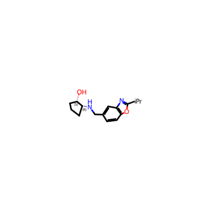 CC(C)c1nc2cc(CN[C@@H]3CCC[C@@H]3O)ccc2o1